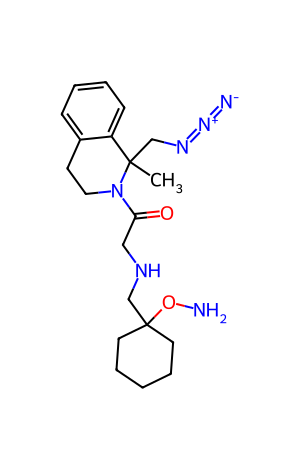 CC1(CN=[N+]=[N-])c2ccccc2CCN1C(=O)CNCC1(ON)CCCCC1